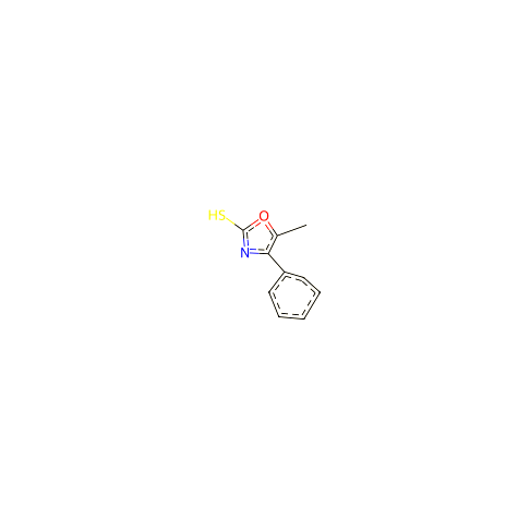 Cc1oc(S)nc1-c1ccccc1